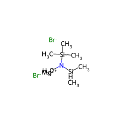 CN([SiH](C)C)[Si](C)(C)C.[Br-].[Br-].[Mg+2]